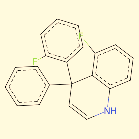 Fc1ccccc1C1(c2ccccc2)C=CNc2cccc(F)c21